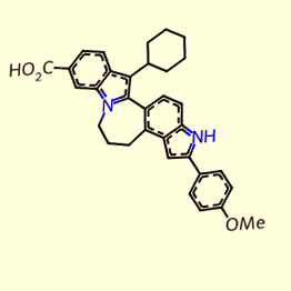 COc1ccc(-c2cc3c4c(ccc3[nH]2)-c2c(C3CCCCC3)c3ccc(C(=O)O)cc3n2CCC4)cc1